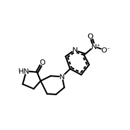 O=C1NCCC12CCCN(c1ccc([N+](=O)[O-])nc1)C2